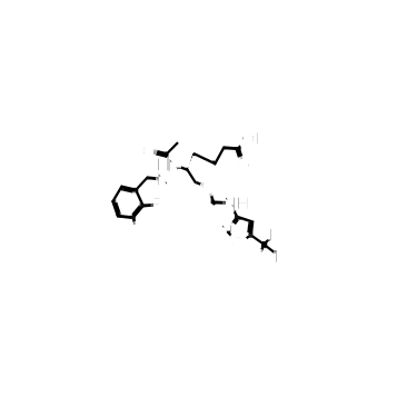 CC(=O)N(NCc1cccc(F)c1F)[C@@H](CCCC(=O)O)COC(=O)Nc1cc(C(F)(F)F)on1